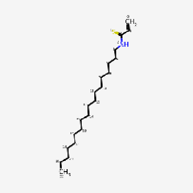 C=CC(=S)NCCCCCCCCCCCCCCCCCC